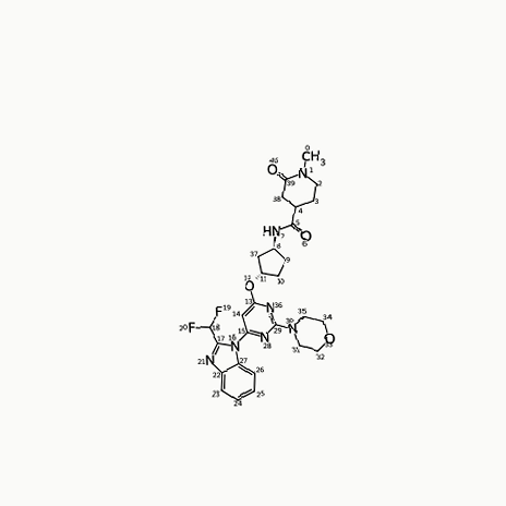 CN1CCC(C(=O)N[C@H]2CC[C@H](Oc3cc(-n4c(C(F)F)nc5ccccc54)nc(N4CCOCC4)n3)C2)CC1=O